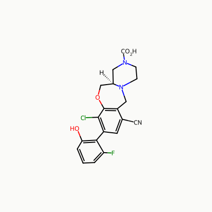 N#Cc1cc(-c2c(O)cccc2F)c(Cl)c2c1CN1CCN(C(=O)O)C[C@@H]1CO2